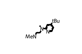 CNCCN(C)c1cc(C(C)(C)C)ccn1